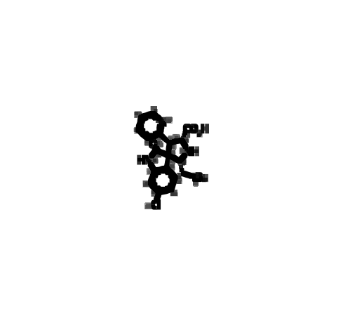 CC(C)(C)C[C@H]1N[C@@H](C(=O)O)[C@H](c2ccccn2)[C@@]12C(=O)Nc1cc(Cl)ccc12